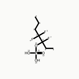 CCCC(F)(F)C(F)(CC)OP(=O)(O)O